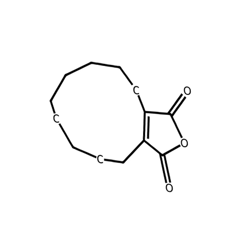 O=C1OC(=O)C2=C1CCCCCCCCC2